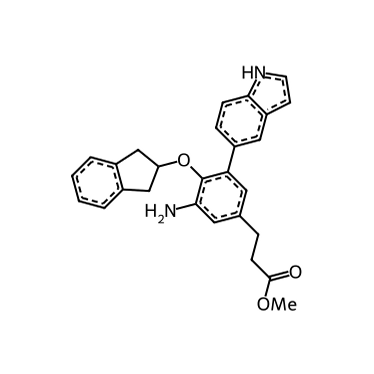 COC(=O)CCc1cc(N)c(OC2Cc3ccccc3C2)c(-c2ccc3[nH]ccc3c2)c1